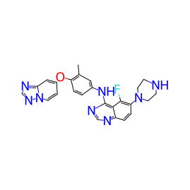 Cc1cc(Nc2ncnc3ccc(N4CCNCC4)c(F)c23)ccc1Oc1ccn2ncnc2c1